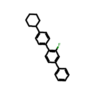 Fc1cc(-c2ccccc2)ccc1-c1ccc(C2CCCCC2)cc1